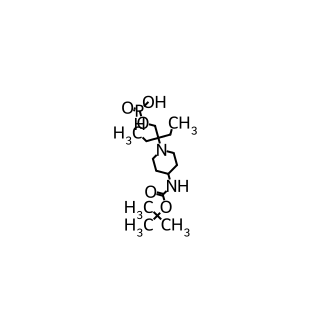 CCC(CC)(CO[PH](=O)O)N1CCC(NC(=O)OC(C)(C)C)CC1